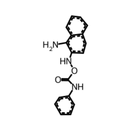 Nc1c(NOC(=O)Nc2ccccc2)ccc2ccccc12